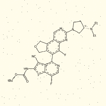 CCN(CC)[C@H]1CCN(c2ncc3c4c(c(-c5ncc(F)c6sc(NC(=O)OC(C)(C)C)c(C#N)c56)c(F)c3n2)COC4)C1